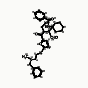 CC(C)CC(C(=O)c1nnc(SCCN(C)Cc2ccccc2)o1)N(C=O)C1(NC(=O)c2ccccc2)CCCCC1